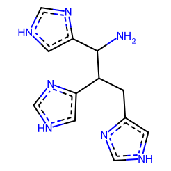 NC(c1c[nH]cn1)C(Cc1c[nH]cn1)c1c[nH]cn1